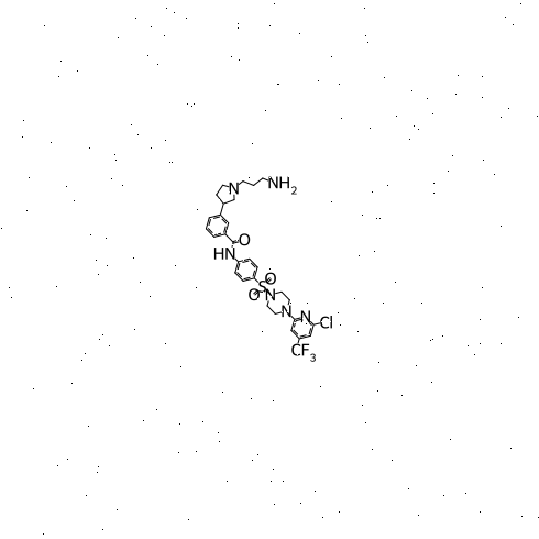 NCCCN1CCC(c2cccc(C(=O)Nc3ccc(S(=O)(=O)N4CCN(c5cc(C(F)(F)F)cc(Cl)n5)CC4)cc3)c2)C1